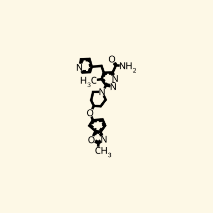 Cc1nc2ccc(OC3CCN(c4nnc(C(N)=O)c(Cc5ccncc5)c4C)CC3)cc2o1